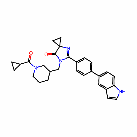 O=C(C1CC1)N1CCCC(CN2C(=O)C3(CC3)N=C2c2ccc(-c3ccc4[nH]ccc4c3)cc2)C1